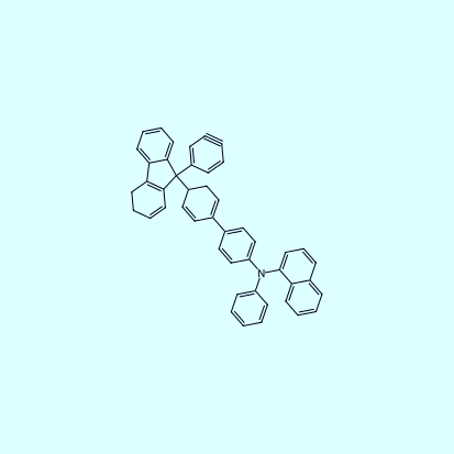 c1ccc(C2(C3C=CC(c4ccc(N(c5ccccc5)c5cccc6ccccc56)cc4)=CC3)C3=C(CCC=C3)c3ccccc32)cc#1